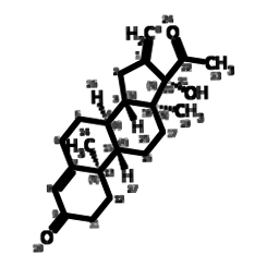 C=C1C[C@H]2[C@@H]3CCC4=CC(=O)CC[C@]4(C)[C@H]3CC[C@]2(C)[C@]1(O)C(C)=O